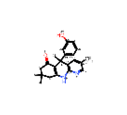 CC1(C)CC(=O)C2=C(C1)Nc1ncc(C(F)(F)F)cc1C2(C)c1cccc(O)c1